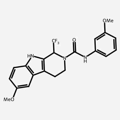 COc1cccc(NC(=O)N2CCc3c([nH]c4ccc(OC)cc34)C2C(F)(F)F)c1